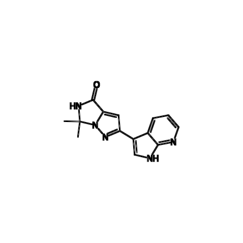 CC1(C)NC(=O)c2cc(-c3c[nH]c4ncccc34)nn21